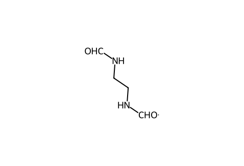 O=[C]NCCNC=O